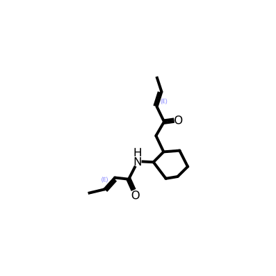 C/C=C/C(=O)CC1CCCCC1NC(=O)/C=C/C